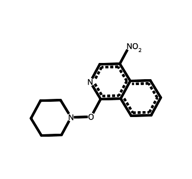 O=[N+]([O-])c1cnc(ON2CCCCC2)c2ccccc12